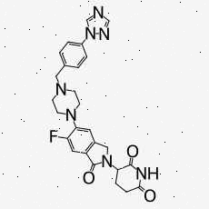 O=C1CCC(N2Cc3cc(N4CCN(Cc5ccc(-n6cncn6)cc5)CC4)c(F)cc3C2=O)C(=O)N1